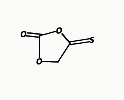 O=C1OCC(=S)O1